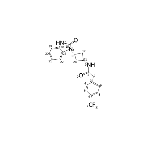 O=C(Cc1ccc(C(F)(F)F)cc1)N[C@H]1C[C@@H](n2c(=O)[nH]c3ccccc32)C1